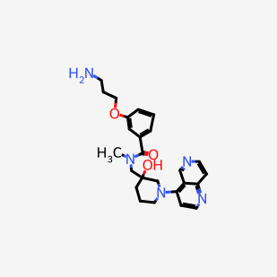 CN(CC1(O)CCCN(c2ccnc3ccncc23)C1)C(=O)c1cccc(OCCCN)c1